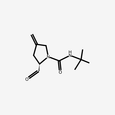 C=C1C[C@@H](C=O)N(C(=O)NC(C)(C)C)C1